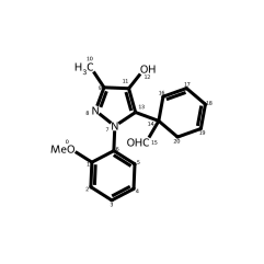 COc1ccccc1-n1nc(C)c(O)c1C1(C=O)C=CC=CC1